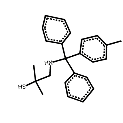 Cc1ccc(C(NCC(C)(C)S)(c2ccccc2)c2ccccc2)cc1